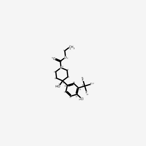 CCOC(=O)N1CCC(O)(c2ccc(Cl)c(C(F)(F)F)c2)CC1